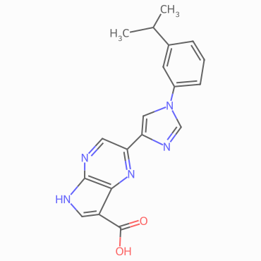 CC(C)c1cccc(-n2cnc(-c3cnc4[nH]cc(C(=O)O)c4n3)c2)c1